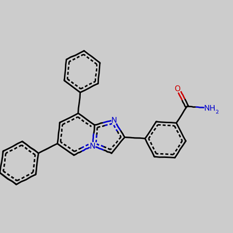 NC(=O)c1cccc(-c2cn3cc(-c4ccccc4)cc(-c4ccccc4)c3n2)c1